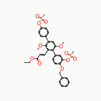 CCOC(=O)C=Cc1c(OC)c(-c2ccc(OS(C)(=O)=O)cc2)cc(OC)c1-c1ccc(OCc2ccccc2)c(OS(C)(=O)=O)c1